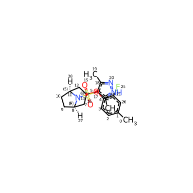 Cc1ccc(OC2C[C@H]3CC[C@@H](C2)N3S(=O)(=O)c2c(C)n[nH]c2C)c(F)c1